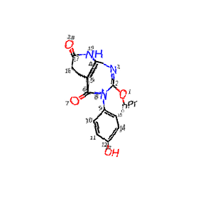 CCCOc1nc2c(c(=O)n1-c1ccc(O)cc1)CC(=O)N2